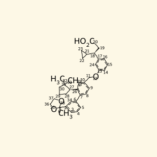 CC1(c2cccc(-c3ccc(COc4cccc([C@H](CC(=O)O)C5CC5)c4)cc3[C@H]3CCCC3(C)C)c2)OCCO1